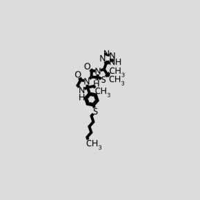 CCCCCCSc1ccc(C2(CC)NCC(=O)N2C2C(=O)N3C(c4nnn[nH]4)C(C)(C)S[C@H]23)cc1